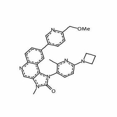 COCc1ccc(-c2ccc3ncc4c(c3c2)n(-c2ccc(N3CCC3)nc2C)c(=O)n4C)cn1